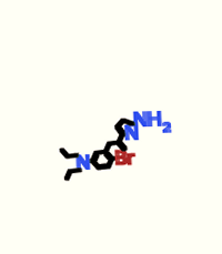 C=C(Cc1cc(N(CCC)CCC)ccc1Br)C1=CCC(N)=N1